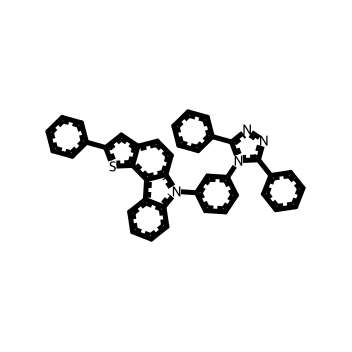 c1ccc(-c2cc3ccc4c(c5ccccc5n4-c4cccc(-n5c(-c6ccccc6)nnc5-c5ccccc5)c4)c3s2)cc1